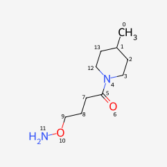 CC1CCN(C(=O)CCCON)CC1